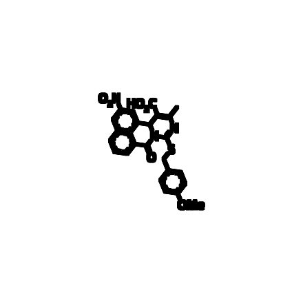 COc1ccc(CSC2=NC(C)=C(C(=O)O)C(c3cccc([N+](=O)[O-])c3)N2C(=O)c2ccccc2)cc1